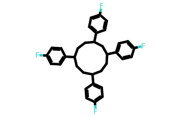 Fc1ccc(C2CCC(c3ccc(F)cc3)CCC(c3ccc(F)cc3)CC(c3ccc(F)cc3)CC2)cc1